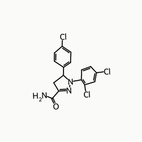 NC(=O)C1=NN(c2ccc(Cl)cc2Cl)C(c2ccc(Cl)cc2)C1